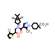 CC1(C)[C@@H]2C[C@@H](N(CC(O)c3sccc3Cl)C(=O)c3cnn([C@H]4CC[C@](C)(C(=O)O)CC4)c3C(F)(F)F)C[C@@H]21